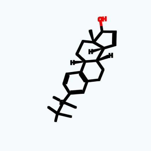 CC(C)(C)[Si](C)(C)c1ccc2c(c1)CC[C@@H]1[C@@H]2CC[C@]2(C)C(O)C=C[C@@H]12